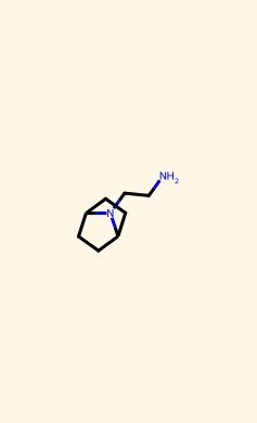 NCCN1C2CCC1CC2